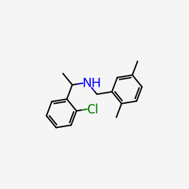 Cc1ccc(C)c(CNC(C)c2ccccc2Cl)c1